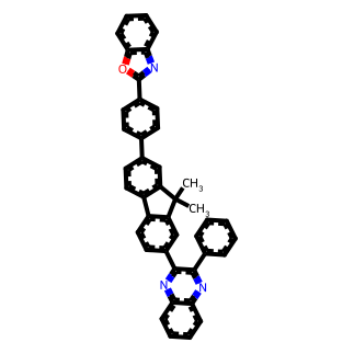 CC1(C)c2cc(-c3ccc(-c4nc5ccccc5o4)cc3)ccc2-c2ccc(-c3nc4ccccc4nc3-c3ccccc3)cc21